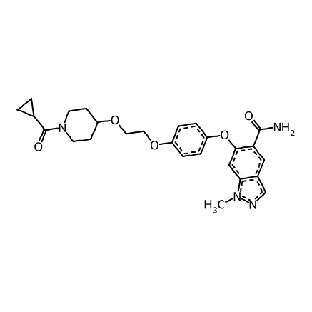 Cn1ncc2cc(C(N)=O)c(Oc3ccc(OCCOC4CCN(C(=O)C5CC5)CC4)cc3)cc21